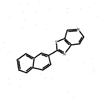 c1ccc2cc(-c3nc4ccncc4s3)ccc2c1